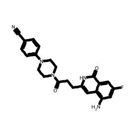 N#Cc1ccc(N2CCN(C(=O)CCc3cc4c(N)cc(F)cc4c(=O)[nH]3)CC2)cc1